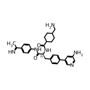 CC(=N)c1ccc(NC(=O)[C@H](Cc2ccc(-c3cncc(N)c3)cc2)NC(=O)C2CCC(CN)CC2)cc1